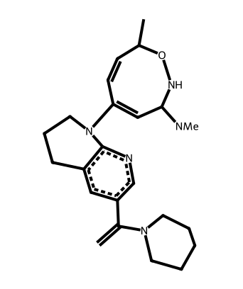 C=C(c1cnc2c(c1)CCCN2C1=C/C(NC)NOC(C)/C=C\1)N1CCCCC1